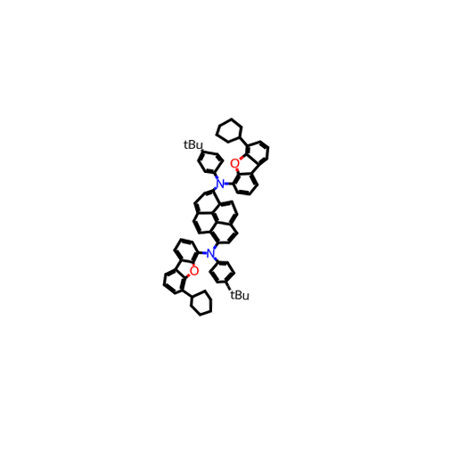 CC(C)(C)c1ccc(N(c2ccc3ccc4c(N(c5ccc(C(C)(C)C)cc5)c5cccc6c5oc5c(C7CCCCC7)cccc56)ccc5ccc2c3c54)c2cccc3c2oc2c(C4CCCCC4)cccc23)cc1